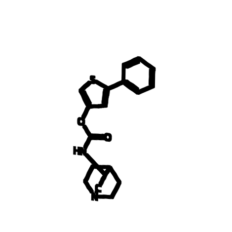 O=C(NC1CN2CCC1CC2)Oc1csc(-c2ccccc2)c1